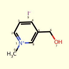 C[n+]1cccc(CO)c1.[I-]